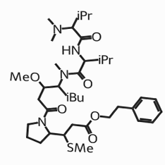 CCC(C)C(C(CC(=O)N1CCCC1C(CC(=O)OCCc1ccccc1)SC)OC)N(C)C(=O)C(NC(=O)C(C(C)C)N(C)C)C(C)C